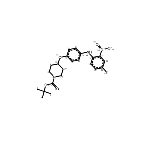 CC(C)(C)OC(=O)N1CCC(Oc2ccc(Nc3ccc(F)cc3[N+](=O)[O-])cc2)CC1